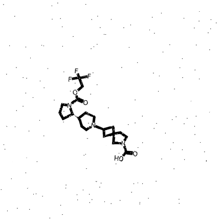 O=C(O)N1CCC2(CC(N3CCC([C@@H]4CCCN4C(=O)OCC(F)(F)F)CC3)C2)C1